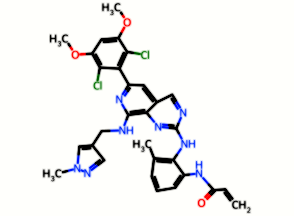 C=CC(=O)Nc1cccc(C)c1Nc1ncc2cc(-c3c(Cl)c(OC)cc(OC)c3Cl)nc(NCc3cnn(C)c3)c2n1